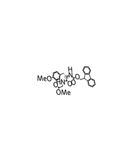 COC(=O)CNC(=O)[C@H](Cc1ccc(OC)cc1)NC(=O)OCC1c2ccccc2-c2ccccc21